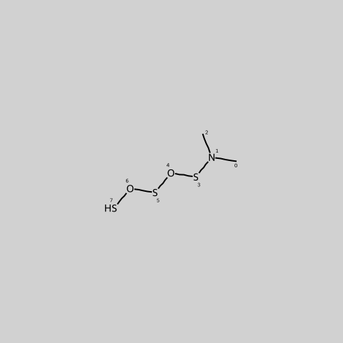 CN(C)SOSOS